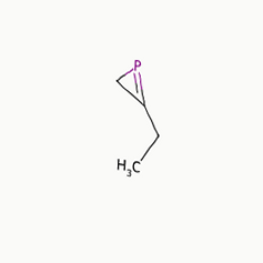 CCC1=PC1